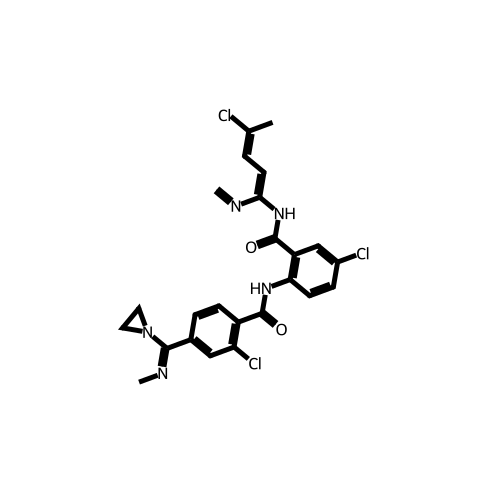 C=N/C(=C\C=C(/C)Cl)NC(=O)c1cc(Cl)ccc1NC(=O)c1ccc(/C(=N/C)N2CC2)cc1Cl